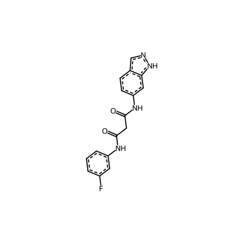 O=C(CC(=O)Nc1ccc2cn[nH]c2c1)Nc1cccc(F)c1